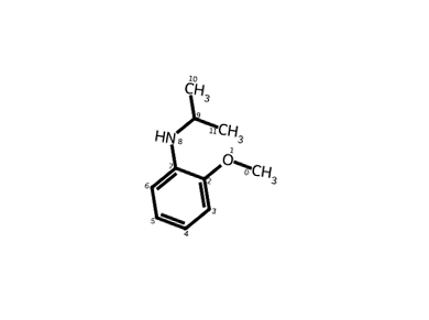 COc1ccccc1NC(C)C